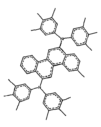 Cc1ccc2c(N(c3cc(C)c(C)c(C)c3)c3cc(C)c(C)c(C)c3)cc3c4ccccc4c(N(c4cc(C)c(C)c(C)c4)c4cc(C)c(C)c(C)c4)cc3c2c1